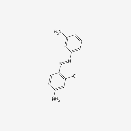 Nc1cccc(N=Nc2ccc(N)cc2Cl)c1